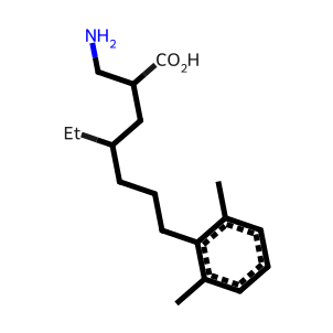 CCC(CCCc1c(C)cccc1C)CC(CN)C(=O)O